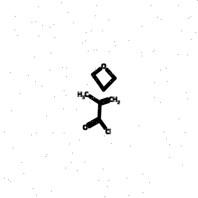 C1COC1.C=C(C)C(=O)Cl